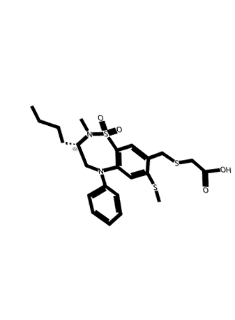 CCCC[C@H]1CN(c2ccccc2)c2cc(SC)c(CSCC(=O)O)cc2S(=O)(=O)N1C